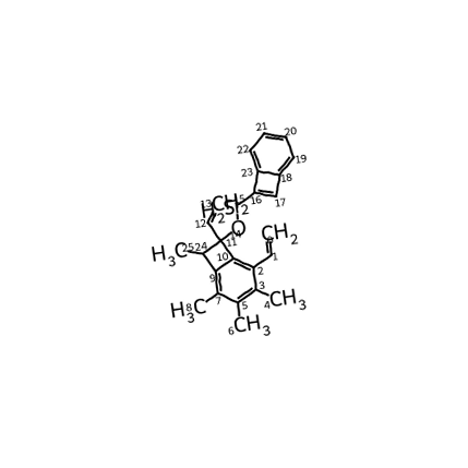 C=Cc1c(C)c(C)c(C)c2c1C(C=C)(O[SiH2]C1=Cc3ccccc31)C2C